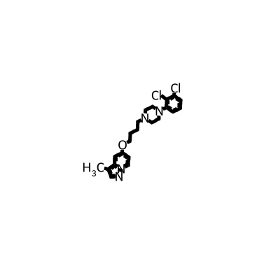 Cc1cnn2ccc(OCCCCN3CCN(c4cccc(Cl)c4Cl)CC3)cc12